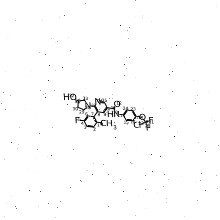 Cc1ccc(F)cc1-c1cc(C(=O)Nc2ccc(OC(F)(F)Cl)cc2)cnc1N1CC[C@@H](O)C1